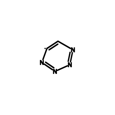 [c]1cnnnn1